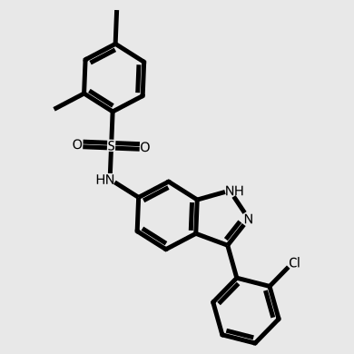 Cc1ccc(S(=O)(=O)Nc2ccc3c(-c4ccccc4Cl)n[nH]c3c2)c(C)c1